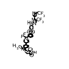 Cn1nc(N2CCC(=O)NC2=O)c2ccc(C3CCN(C(c4cccc(S(=O)(=O)N5CCC(Nc6ncc(C(F)(F)F)c(-c7cnn(CC(F)(F)F)c7)n6)CC5)c4)C(F)F)CC3)cc21